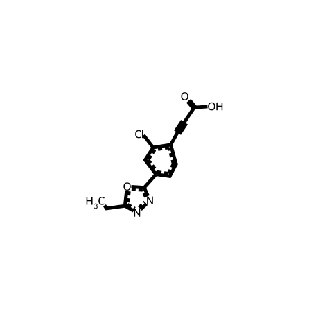 CCc1nnc(-c2ccc(C#CC(=O)O)c(Cl)c2)o1